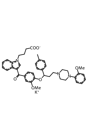 COc1cc(C(=O)c2cn(CCCC(=O)[O-])c3ccccc23)ccc1OC(CCN1CCN(c2ccccc2OC)CC1)c1ccc(C)cc1.[K+]